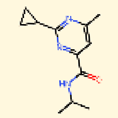 Cc1cc(C(=O)NC(C)C)nc(C2CC2)n1